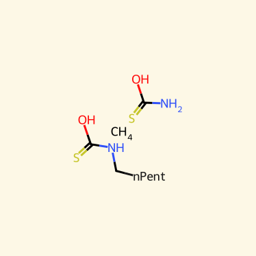 C.CCCCCCNC(O)=S.NC(O)=S